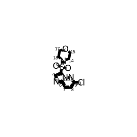 O=S(=O)(c1cnc2ccc(Cl)nn12)N1CCOCC1